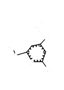 CNc1cc(C)cc(C)n1.Cl.Cl